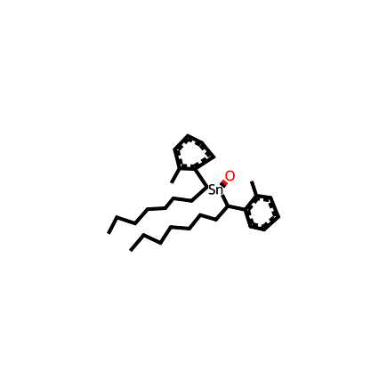 CCCCCCC[CH](c1ccccc1C)[Sn](=[O])[CH](CCCCCCC)c1ccccc1C